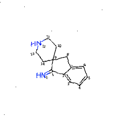 N=C1c2ccccc2CC12CCNCC2